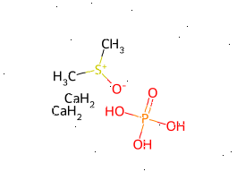 C[S+](C)[O-].O=P(O)(O)O.[CaH2].[CaH2]